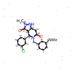 CNc1cccc(Cn2c(-c3cccc(Cl)c3)c3c(=O)n(C)[nH]c3cc2=O)c1